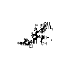 CC(CO)Nc1cc(Nc2ncc(C#N)cc2Cl)ncc1C(=O)NCC(F)C(C)(C)O